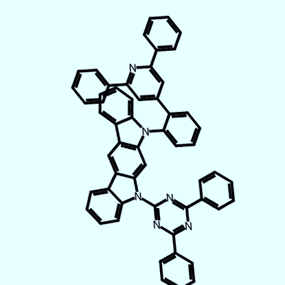 c1ccc(-c2cc(-c3ccccc3-n3c4ccccc4c4cc5c6ccccc6n(-c6nc(-c7ccccc7)nc(-c7ccccc7)n6)c5cc43)cc(-c3ccccc3)n2)cc1